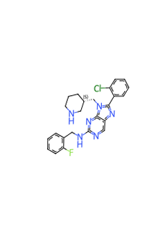 Fc1ccccc1CNc1ncc2nc(-c3ccccc3Cl)n(C[C@H]3CCCNC3)c2n1